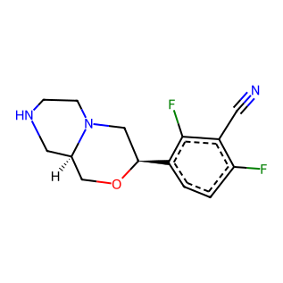 N#Cc1c(F)ccc([C@@H]2CN3CCNC[C@@H]3CO2)c1F